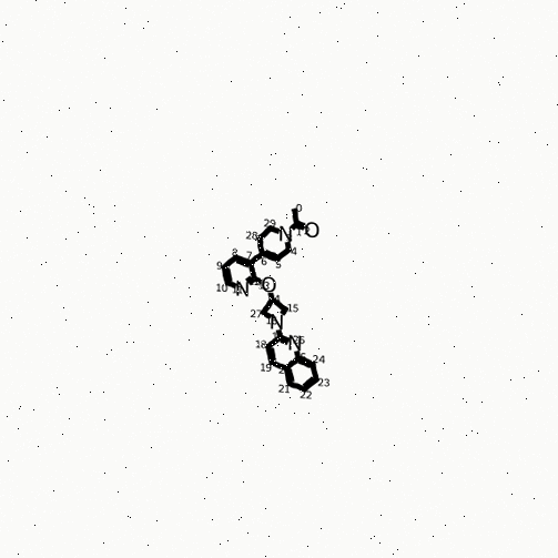 CC(=O)N1CC=C(c2cccnc2OC2CN(c3ccc4ccccc4n3)C2)CC1